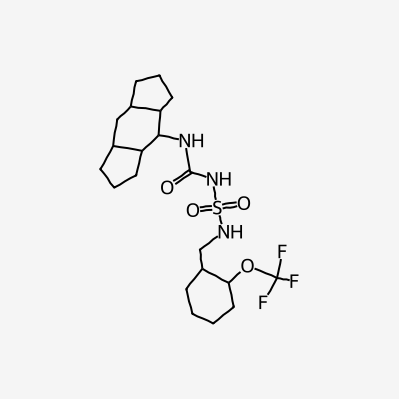 O=C(NC1C2CCCC2CC2CCCC21)NS(=O)(=O)NCC1CCCCC1OC(F)(F)F